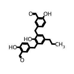 CCCc1cc(Cc2ccc(O)c(C=O)c2)c(O)c(Cc2ccc(O)c(C=O)c2)c1